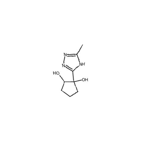 Cc1nnc(C2(O)CCCC2O)[nH]1